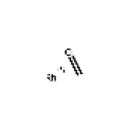 [C]=O.[Rh].[S]